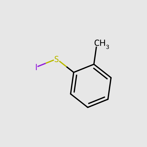 Cc1ccccc1SI